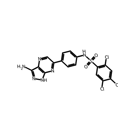 Nc1n[nH]c2nc(-c3ccc(NS(=O)(=O)c4cc(Cl)c(Cl)cc4Cl)cc3)cnc12